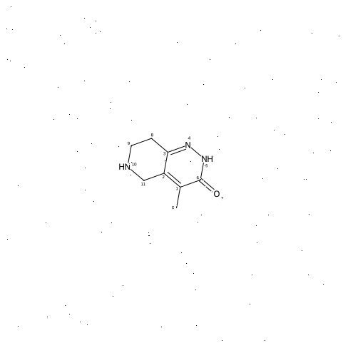 Cc1c2c(n[nH]c1=O)CCNC2